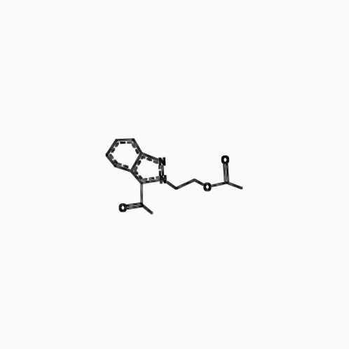 CC(=O)OCCn1nc2ccccc2c1C(C)=O